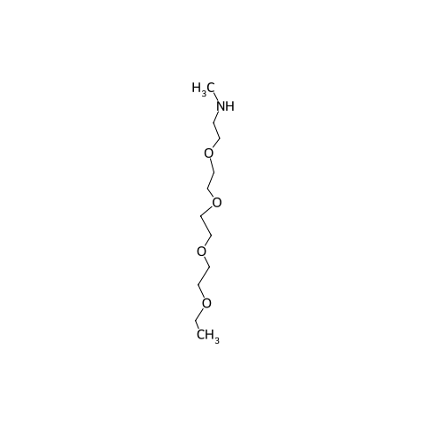 CCOCCOCCOCCOCCNC